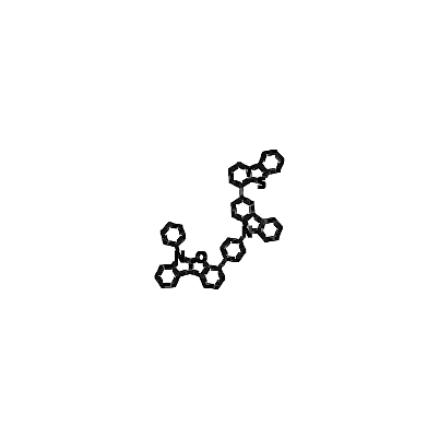 c1ccc(-n2c3ccccc3c3c4cccc(-c5ccc(-n6c7ccccc7c7cc(-c8cccc9c8sc8ccccc89)ccc76)cc5)c4oc32)cc1